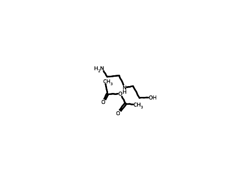 CC(=O)OC(C)=O.NCCNCCO